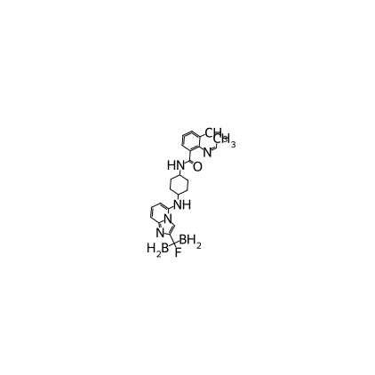 BC(B)(F)c1cn2c(NC3CCC(NC(=O)C4=C(/N=C\C)C(C)=C=C=C4)CC3)cccc2n1